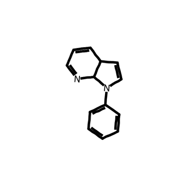 C1=CC2C=CN(c3ccccc3)C2N=C1